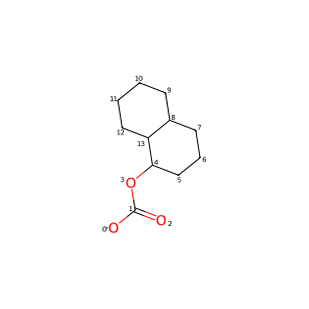 [O]C(=O)OC1CCCC2CCCCC21